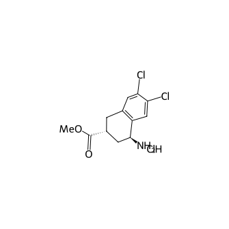 COC(=O)[C@@H]1Cc2cc(Cl)c(Cl)cc2[C@@H](N)C1.Cl